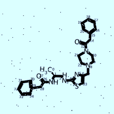 C[C@@H](CNc1nc(CN2CCN(C(=O)Cc3ccccc3)CC2)cs1)NC(=O)Cc1ccccc1